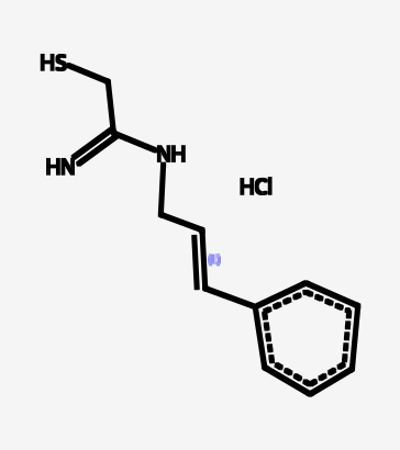 Cl.N=C(CS)NC/C=C/c1ccccc1